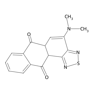 CN(C)C1=CC2C(=O)c3ccccc3C(=O)C2c2nsnc21